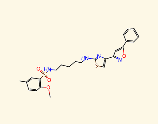 COc1ccc(C)cc1S(=O)(=O)NCCCCCNc1nc(-c2cc(-c3ccccc3)on2)cs1